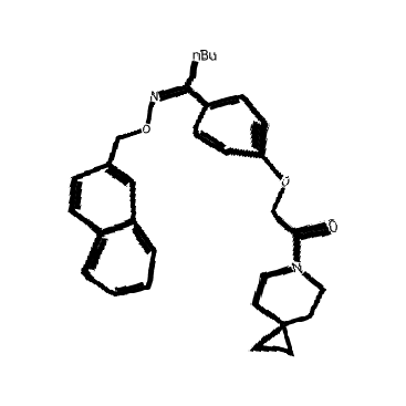 CCCCC(=NOCc1ccc2ccccc2c1)c1ccc(OCC(=O)N2CCC3(CC2)CC3)cc1